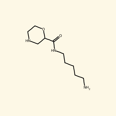 NCCCCCNC(=O)C1CNCCO1